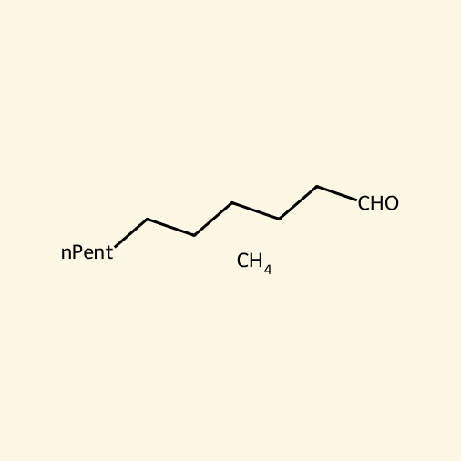 C.CCCCCCCCCCC=O